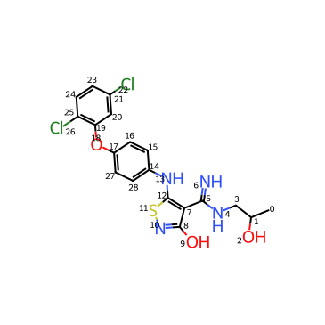 CC(O)CNC(=N)c1c(O)nsc1Nc1ccc(Oc2cc(Cl)ccc2Cl)cc1